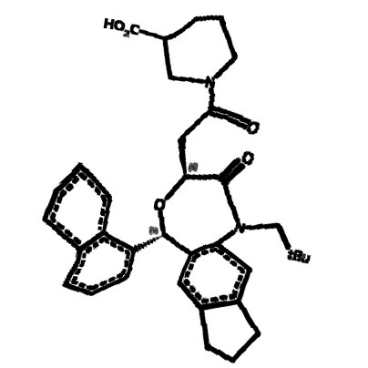 CC(C)(C)CN1C(=O)[C@H](CC(=O)N2CCCC(C(=O)O)C2)O[C@@H](c2cccc3ccccc23)c2cc3c(cc21)CCC3